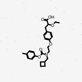 CCOC(Cc1ccc(OCCN(CC2CCC2)C(=O)Oc2ccc(C)cc2)cc1)C(=O)O